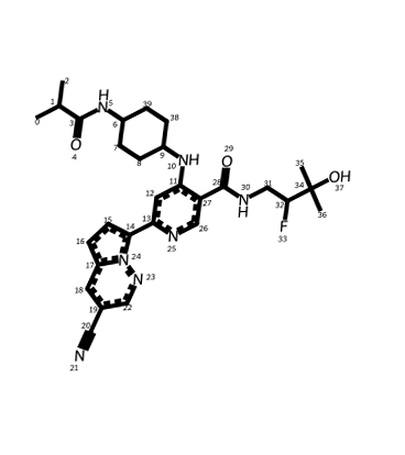 CC(C)C(=O)NC1CCC(Nc2cc(-c3ccc4cc(C#N)cnn34)ncc2C(=O)NCC(F)C(C)(C)O)CC1